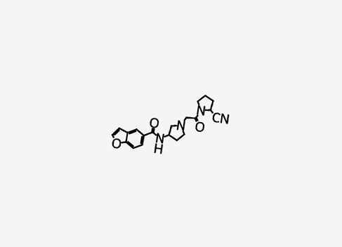 N#CC1CCCN1C(=O)CN1CCC(NC(=O)c2ccc3occc3c2)C1